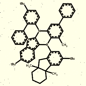 Cc1cc(-c2ccccc2)cc2c1B(c1cc(C(C)(C)C)cc3c1CC1(C)CCCCC31C)c1c(oc3cc(C(C)(C)C)ccc13)N2c1ccc(C(C)(C)C)cc1-c1ccccc1